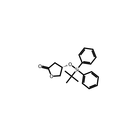 CC(C)(C)[Si](O[C@@H]1COC(=O)C1)(c1ccccc1)c1ccccc1